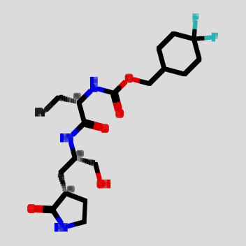 CC(C)C[C@H](NC(=O)OCC1CCC(F)(F)CC1)C(=O)N[C@H](CO)C[C@@H]1CCNC1=O